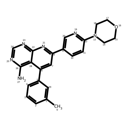 Cc1cccc(-c2cc(-c3ccc(N4CCOCC4)nc3)nc3ncnc(N)c23)c1